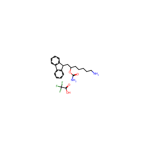 NCCCCCC(CC1c2ccccc2-c2ccccc21)OC(N)=O.O=C(O)C(F)(F)F